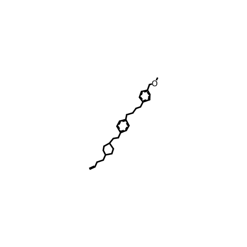 C=CCCC1CCC(CCc2ccc(CCCCc3ccc(COC)cc3)cc2)CC1